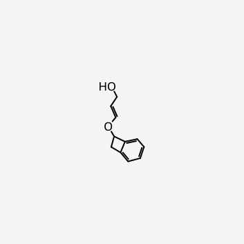 OC/C=C/OC1Cc2ccccc21